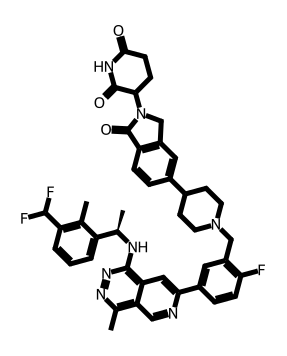 Cc1c(C(F)F)cccc1[C@@H](C)Nc1nnc(C)c2cnc(-c3ccc(F)c(CN4CCC(c5ccc6c(c5)CN(C5CCC(=O)NC5=O)C6=O)CC4)c3)cc12